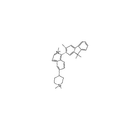 Cc1cc2c(cc1-c1c3ccc(C4CC[Si](C)(C)CC4)cc3cc[n+]1C)C(C)(C)c1ccccc1-2